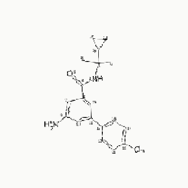 CC(C)(NC(=O)c1cc(N)cc(-c2ccc(Cl)cc2)c1)C1CC1